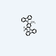 Cc1cc(-n2c3ccccc3c3ccccc32)c(C(F)(F)F)cc1-n1c2ccccc2c2ccccc21